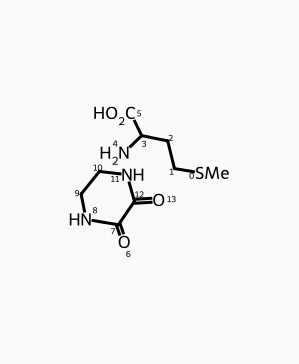 CSCCC(N)C(=O)O.O=C1NCCNC1=O